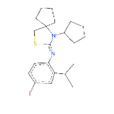 CC(C)c1cc(I)ccc1N=C1SCC2(CCCC2)N1C1CCCC1